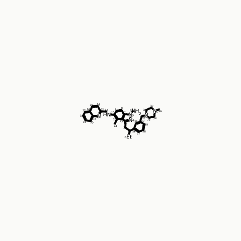 CCC(Cc1nn(N)c2ccc(NCc3ccc4ccccc4n3)c(C)c12)c1cccc(CN2CCN(C)CC2)c1